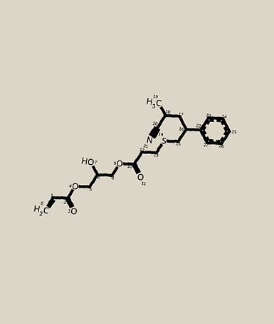 C=CC(=O)OCC(O)COC(=O)CCSCC(CC(C)C#N)c1ccccc1